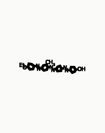 CCOc1ccc(N=Nc2ccc(N=Nc3ccc(N=Nc4ccc(O)cc4)cc3)c(C)c2)cc1